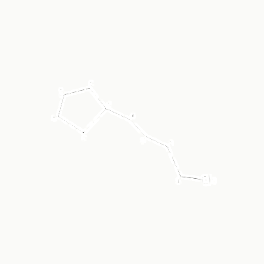 ClCCCCC1C[CH]CC1